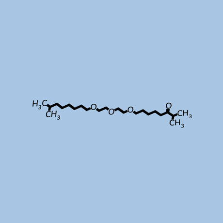 CC(C)CCCCCCOCCOCCOCCCCCC(=O)C(C)C